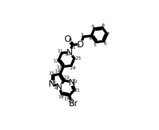 O=C(OCc1ccccc1)N1CC=C(c2cnn3cc(Br)cnc23)CC1